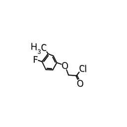 Cc1cc(OCC(=O)Cl)ccc1F